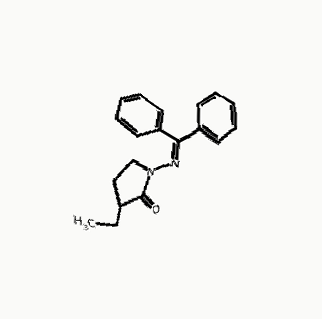 CCC1CCN(N=C(c2ccccc2)c2ccccc2)C1=O